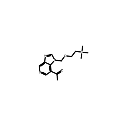 CC(=O)c1cncc2ncn(COCC[Si](C)(C)C)c12